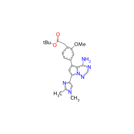 COc1cc(-c2cc(-c3cn(C)c(C)n3)n3ncnc(N)c23)ccc1CC(=O)OC(C)(C)C